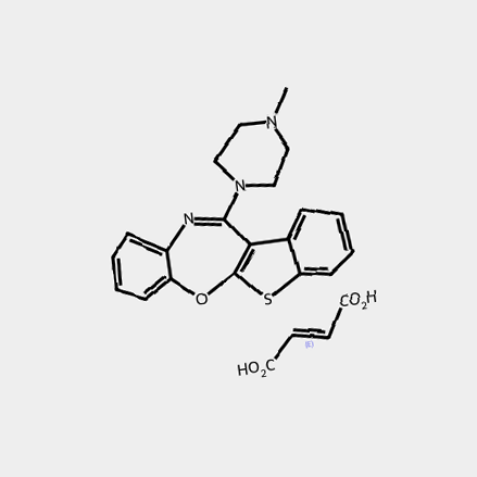 CN1CCN(C2=Nc3ccccc3Oc3sc4ccccc4c32)CC1.O=C(O)/C=C/C(=O)O